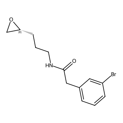 O=C(Cc1cccc(Br)c1)NCCC[C@@H]1CO1